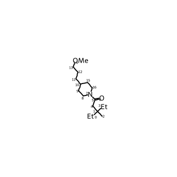 CCC(C)(CC)CC(=O)N1CCC(CCCOC)CC1